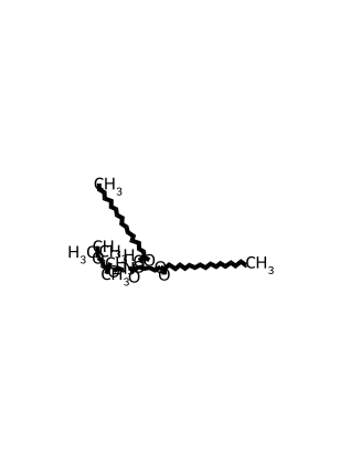 CCCCCCCCCCCCCCCCCC(=O)OCC(COC(=O)NCCOC(C)(C)CCOC(C)(C)C)OC(=O)CCCCCCCCCCCCCCCCC